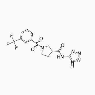 O=C(Nc1nnn[nH]1)[C@H]1CCN(S(=O)(=O)c2cccc(C(F)(F)F)c2)C1